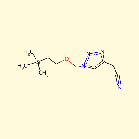 C[Si](C)(C)CCOCn1cc(CC#N)nn1